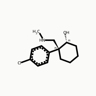 CNC[C@]1(c2ccc(Cl)cc2)CCCC[C@H]1O